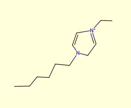 CCCCCCN1C=C[N+](CC)=CC1